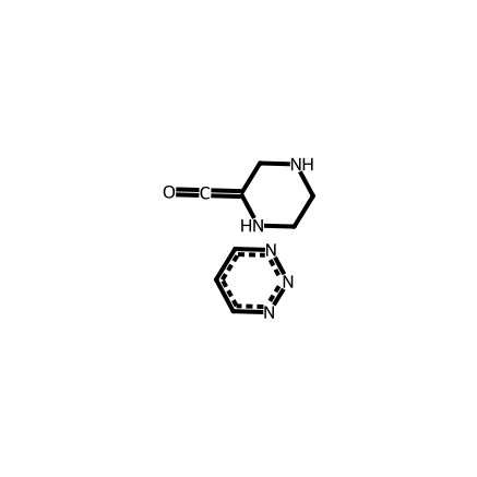 O=C=C1CNCCN1.c1cnnnc1